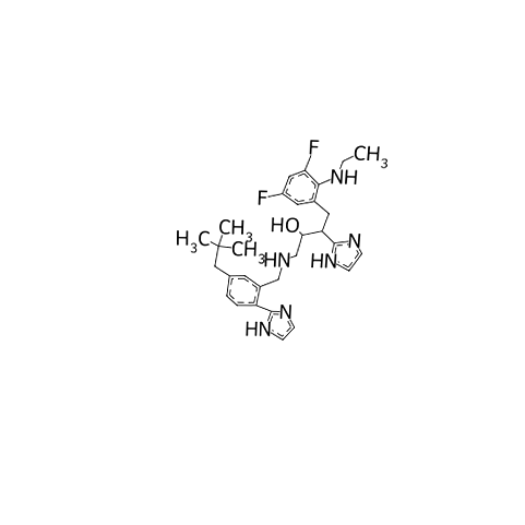 CCNc1c(F)cc(F)cc1CC(c1ncc[nH]1)C(O)CNCc1cc(CC(C)(C)C)ccc1-c1ncc[nH]1